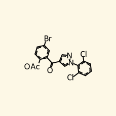 CC(=O)Oc1ccc(Br)cc1C(=O)c1cnn(-c2c(Cl)cccc2Cl)c1